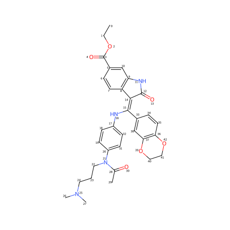 CCOC(=O)c1ccc2c(c1)NC(=O)C2=C(Nc1ccc(N(CCCN(C)C)C(C)=O)cc1)c1ccc2c(c1)OCCO2